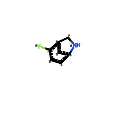 Fc1ccc2cc1CN2